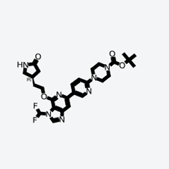 CC(C)(C)OC(=O)N1CCN(c2ccc(-c3cc4ncn(C(F)F)c4c(OCC[C@H]4CNC(=O)C4)n3)cn2)CC1